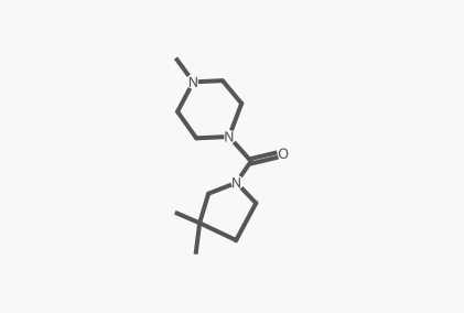 CN1CCN(C(=O)N2CCC(C)(C)C2)CC1